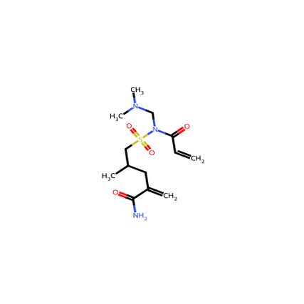 C=CC(=O)N(CN(C)C)S(=O)(=O)CC(C)CC(=C)C(N)=O